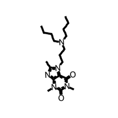 CCCCN(CCCC)CCCn1c(C)nc2c1c(=O)n(C)c(=O)n2C